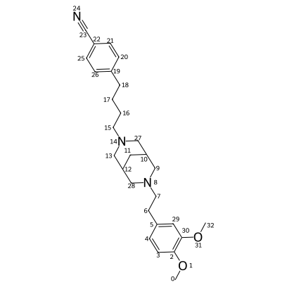 COc1ccc(CCN2CC3CC(CN(CCCCc4ccc(C#N)cc4)C3)C2)cc1OC